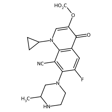 CC1CN(c2c(F)cc3c(=O)c(OC(=O)O)cn(C4CC4)c3c2C#N)CCN1